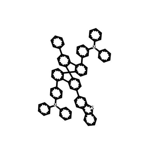 c1ccc(-c2ccc3c(c2)-c2c(-c4cccc(N(c5ccccc5)c5ccccc5)c4)cccc2C32c3ccc(-c4ccc5c(c4)sc4ccccc45)cc3-c3c(-c4ccc(N(c5ccccc5)c5ccccc5)cc4)cccc32)cc1